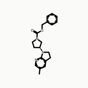 Cc1cnc2c(c1)CCN2[C@H]1CCN(C(=O)OCc2ccccc2)C1